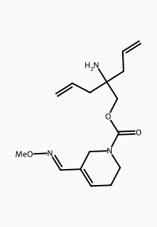 C=CCC(N)(CC=C)COC(=O)N1CCC=C(C=NOC)C1